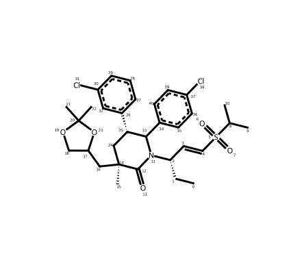 CC[C@@H](/C=C/S(=O)(=O)C(C)C)N1C(=O)[C@@](C)(CC2COC(C)(C)O2)C[C@H](c2cccc(Cl)c2)C1c1ccc(Cl)cc1